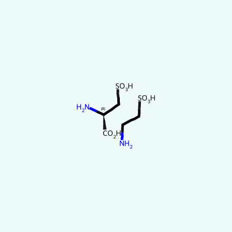 NCCS(=O)(=O)O.N[C@@H](CS(=O)(=O)O)C(=O)O